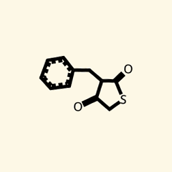 O=C1CSC(=O)C1Cc1ccccc1